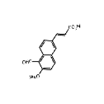 COc1ccc2cc(C=CC(=O)O)ccc2c1C=O